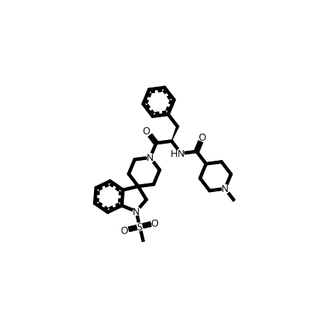 CN1CCC(C(=O)N[C@H](Cc2ccccc2)C(=O)N2CCC3(CC2)CN(S(C)(=O)=O)c2ccccc23)CC1